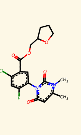 Cc1cc(=O)n(-c2cc(C(=O)OCC3CCCO3)c(Cl)cc2F)c(=O)n1C